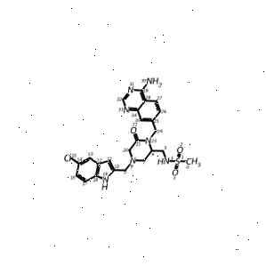 CS(=O)(=O)NCC1CN(Cc2cc3cc(Cl)ccc3[nH]2)CC(=O)N1Cc1ccc2c(N)ncnc2c1